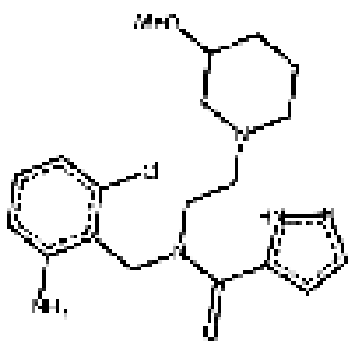 COC1CCCN(CCN(Cc2c(N)cccc2Cl)C(=O)c2ccn[nH]2)C1